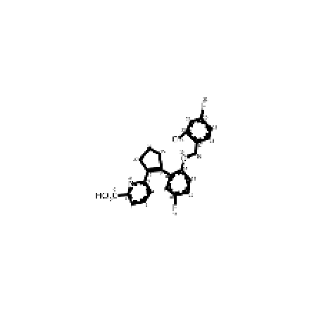 O=C(O)c1cccc(C2=C(c3cc(F)ccc3OCc3ccc(F)cc3Cl)CCC2)n1